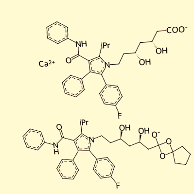 CC(C)c1c(C(=O)Nc2ccccc2)c(-c2ccccc2)c(-c2ccc(F)cc2)n1CC[C@@H](O)C[C@@H](O)CC(=O)[O-].CC(C)c1c(C(=O)Nc2ccccc2)c(-c2ccccc2)c(-c2ccc(F)cc2)n1CC[C@@H](O)C[C@@H](O)CC1([O-])OC2(CCCC2)O1.[Ca+2]